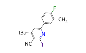 Cc1cc(-c2cc(C(C)(C)C)c(C#N)c(I)n2)ccc1F